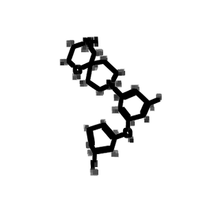 Cc1cc(Oc2cccc(F)c2)cc(N2CCC3(CC2)CNCCO3)c1